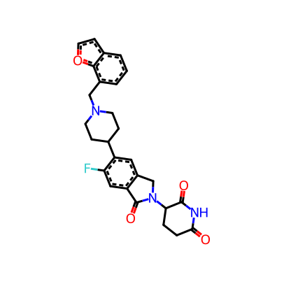 O=C1CCC(N2Cc3cc(C4CCN(Cc5cccc6ccoc56)CC4)c(F)cc3C2=O)C(=O)N1